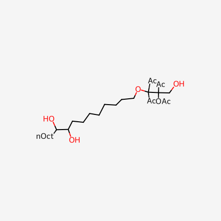 CCCCCCCCC(O)C(O)CCCCCCCCOC(C(C)=O)(C(C)=O)C(CO)(OC(C)=O)C(C)=O